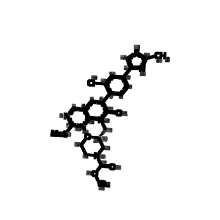 CSc1ncc2cc(-c3ccc(-c4csc(C)n4)cc3Cl)c(=O)n(C[C@@H]3CN(C(=O)OC(C)(C)C)CCO3)c2n1